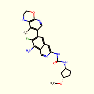 CO[C@H]1CC[C@H](NC(=O)Nc2cc3cc(-c4cnc5c(c4C)NCCO5)c(F)c(N)c3cn2)C1